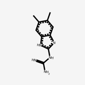 Cc1cc2nc(NC(=N)N)[nH]c2cc1C